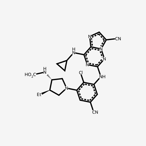 CC[C@@H]1CN(c2cc(C#N)cc(Nc3nc(NC4CC4)c4ncc(C#N)n4n3)c2Cl)C[C@H]1NC(=O)O